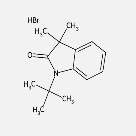 Br.CC1(C)C(=O)N(C(C)(C)C)c2ccccc21